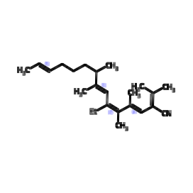 C/C=C/CCCC(C)/C(C)=C/C(CC)=C(C)\C(C)=C\C(C#N)=C(C)C